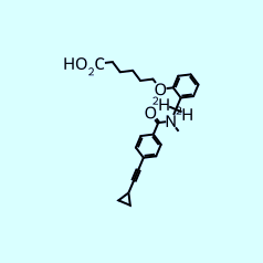 [2H]C([2H])(c1ccccc1OCCCCCC(=O)O)N(C)C(=O)c1ccc(C#CC2CC2)cc1